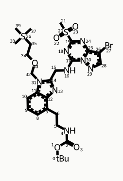 CC(C)(C)OC(=O)NCCc1cccc2c1nc(CNc1nc(S(C)(=O)=O)nc3c(Br)cnn13)n2COCCS(C)(C)C